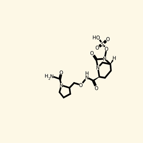 NC(=O)N1CCCC1CONC(=O)[C@@H]1CC[C@@H]2CN1C(=O)N2OS(=O)(=O)O